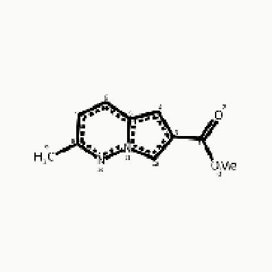 COC(=O)c1cc2ccc(C)nn2c1